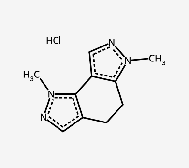 Cl.Cn1ncc2c1CCc1cnn(C)c1-2